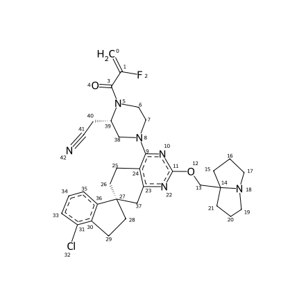 C=C(F)C(=O)N1CCN(c2nc(OCC34CCCN3CCC4)nc3c2CC[C@@]2(CCc4c(Cl)cccc42)C3)C[C@@H]1CC#N